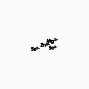 [Mg+2].[Se-2].[Se-2].[Zn+2]